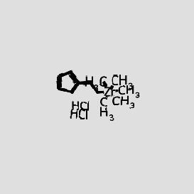 Cl.Cl.[CH3][Zr]([CH3])([CH3])([CH3])([CH3])[CH2]CC1=CC=CC1